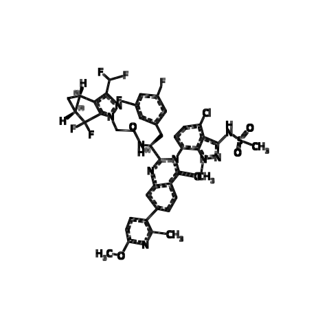 COc1ccc(-c2ccc3c(=O)n(-c4ccc(Cl)c5c(NS(C)(=O)=O)nn(C)c45)c([C@H](Cc4cc(F)cc(F)c4)NC(=O)Cn4nc(C(F)F)c5c4C(F)(F)[C@@H]4C[C@H]54)nc3c2)c(C)n1